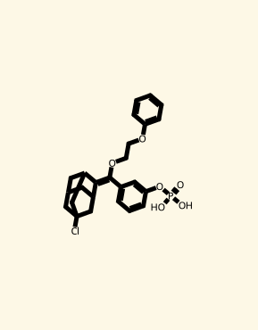 O=P(O)(O)Oc1cccc(C(OCCOc2ccccc2)=C2C3CC4CC2CC(Cl)(C4)C3)c1